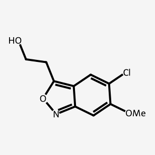 COc1cc2noc(CCO)c2cc1Cl